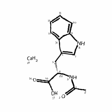 CC(=O)N[C@@H](Cc1c[nH]c2ccccc12)C(=O)O.[CaH2]